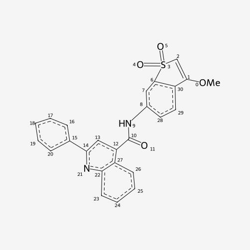 COC1=CS(=O)(=O)c2cc(NC(=O)c3cc(-c4ccccc4)nc4ccccc34)ccc21